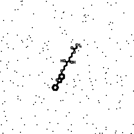 C=CC(=O)OCCCC(O)C(O)CCCOc1ccc2cc(-c3ccccc3)oc2c1